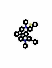 c1ccc(-c2cccc(N(c3ccccc3)c3cccc4c3-c3ccccc3C43c4ccccc4-c4ccc(N(c5ccccc5)c5cccc6c5sc5ccccc56)cc43)c2)cc1